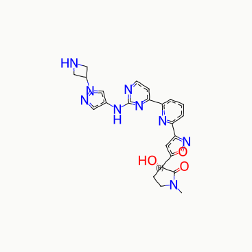 CN1CC[C@@](O)(c2cc(-c3cccc(-c4ccnc(Nc5cnn(C6CNC6)c5)n4)n3)no2)C1=O